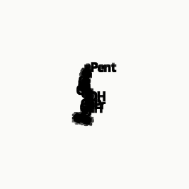 CCCCCc1ccc(-c2cc3cn([C@H]4C[C@H](O)[C@@H](COC(=O)[C@@H](NC(=O)OCC5c6ccccc6-c6ccccc65)C(C)C)O4)c(=O)nc3o2)cc1